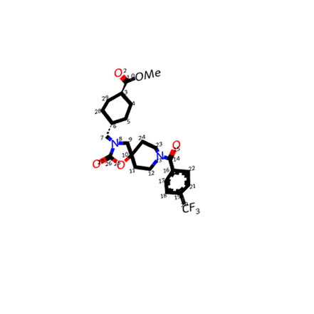 COC(=O)[C@H]1CC[C@H](CN2CC3(CCN(C(=O)c4ccc(C(F)(F)F)cc4)CC3)OC2=O)CC1